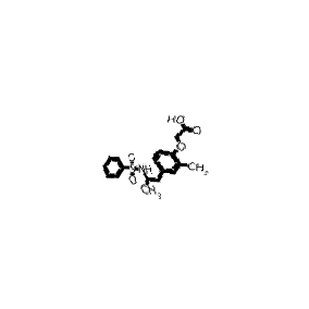 Cc1cc(CC(C)NS(=O)(=O)c2ccccc2)ccc1OCC(=O)O